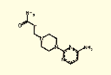 NC(=O)[CH]CN1CCN(c2nccc(N)n2)CC1